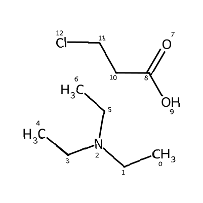 CCN(CC)CC.O=C(O)CCCl